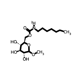 [2H]N(CCCCCCC)C(=O)OC[C@H]1OC(OC)[C@H](O)[C@@H](O)[C@@H]1O